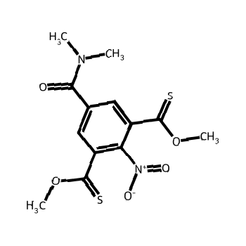 COC(=S)c1cc(C(=O)N(C)C)cc(C(=S)OC)c1[N+](=O)[O-]